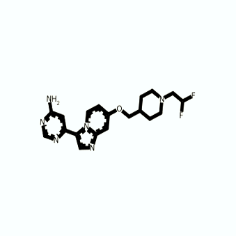 Nc1cc(-c2cnc3cc(OCC4CCN(CC(F)F)CC4)ccn23)ncn1